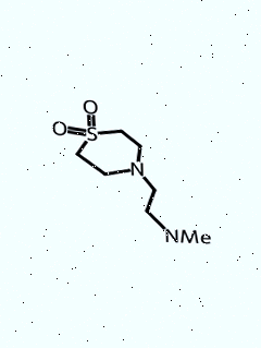 CNCCN1CCS(=O)(=O)CC1